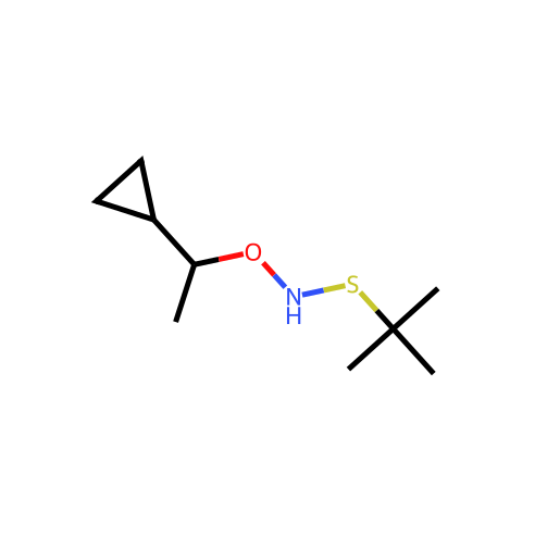 CC(ONSC(C)(C)C)C1CC1